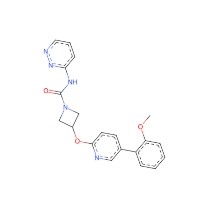 COc1ccccc1-c1ccc(OC2CN(C(=O)Nc3cccnn3)C2)nc1